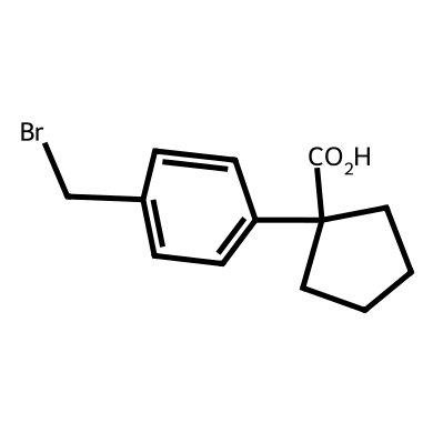 O=C(O)C1(c2ccc(CBr)cc2)CCCC1